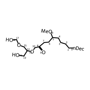 CCCCCCCCCCCCCCC(CCC(=O)COC(CO)COCO)OC